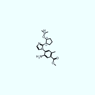 COC(=O)c1cc(N)c(-n2ccnc2[C@@H]2CCC[C@@H]2O[SiH](C)C)cc1C